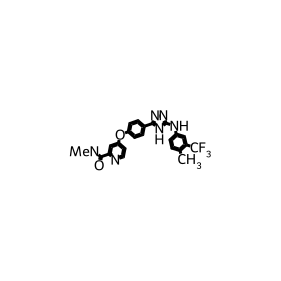 CNC(=O)c1cc(Oc2ccc(-c3nnc(Nc4ccc(C)c(C(F)(F)F)c4)[nH]3)cc2)ccn1